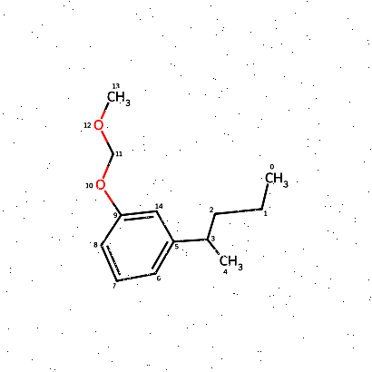 CCCC(C)c1cccc(OCOC)c1